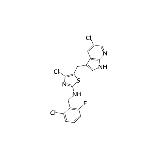 Fc1cccc(Cl)c1CNc1nc(Cl)c(Cc2c[nH]c3ncc(Cl)cc23)s1